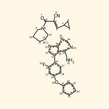 N#CC(=CC1CC1)C(=O)N1CCC[C@@H](n2cc(-c3ccc(Oc4ccccc4)cc3F)c3c(N)ncnc32)C1